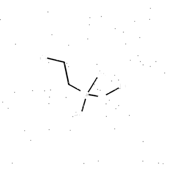 CCO[Si](CCCl)(C(C)=O)C(C)=O